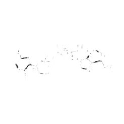 C[C@@]1(O)[C@H](O)[C@@H](COP2(=O)OCC[C@@H](c3cc(F)ccc3F)O2)O[C@H]1n1cnc2c(N)ncnc21